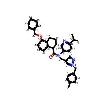 Cc1ccc(Cn2cc(CN(C(=O)C3CCCc4c(OCc5ccccc5)cccc43)c3ccc(C(C)C)nc3)cn2)cc1